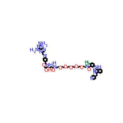 C=C(O)[C@H](CCC(=O)NCCOCCOCCOCCOCCOCCNC(=O)c1cc(Nc2nnc(Cc3ccncc3)c3ccccc23)ccc1Cl)NC(=O)c1ccc(N(C)Cc2cnc3nc(N)nc(N)c3n2)cc1